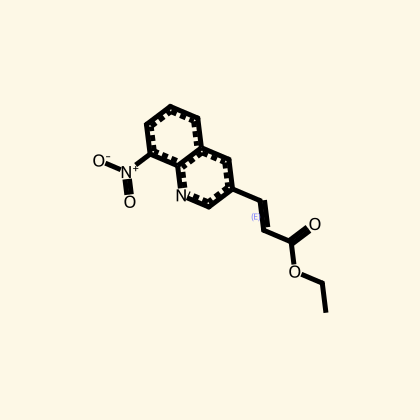 CCOC(=O)/C=C/c1cnc2c([N+](=O)[O-])cccc2c1